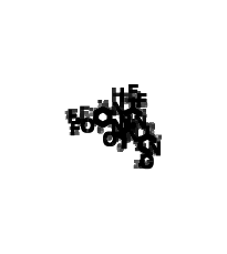 C=CC(=O)Nc1cc(OC(F)(F)F)ccc1Nc1nc(Nc2cc(OC)ncc2C)ncc1C(F)(F)F